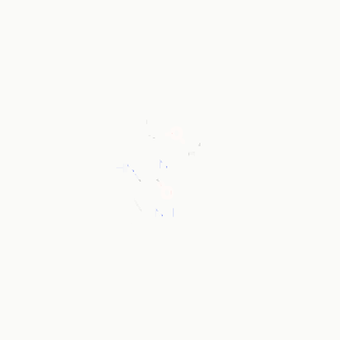 C[C@@H]1CN(C(=O)C(=N)C2=C(N)CCC2)C[C@H](C)O1